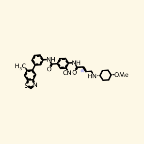 CO[C@H]1CC[C@H](NC/C=C/C(=O)Nc2ccc(C(=O)Nc3cccc(-c4cc5ncsc5cc4C)c3)cc2C#N)CC1